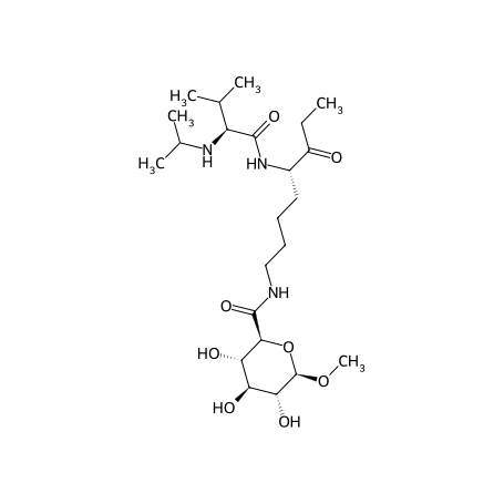 CCC(=O)[C@H](CCCCNC(=O)[C@H]1O[C@@H](OC)[C@H](O)[C@@H](O)[C@@H]1O)NC(=O)[C@@H](NC(C)C)C(C)C